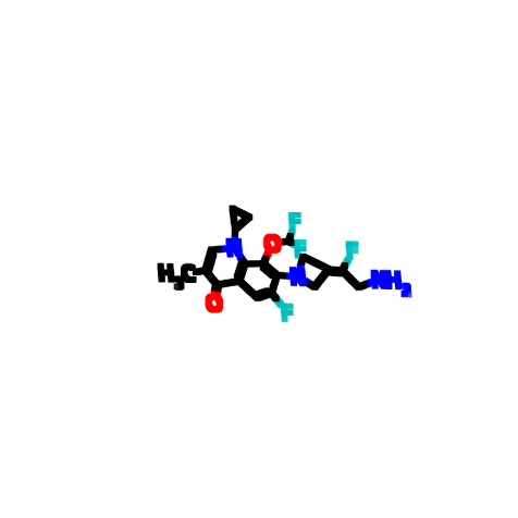 Cc1cn(C2CC2)c2c(OC(F)F)c(N3CC(=C(F)CN)C3)c(F)cc2c1=O